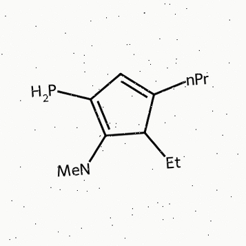 CCCC1=CC(P)=C(NC)C1CC